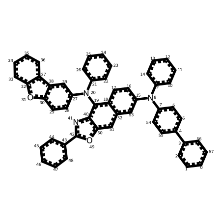 c1ccc(-c2ccc(N(c3ccccc3)c3ccc4c(N(c5ccccc5)c5ccc6oc7ccccc7c6c5)c5nc(-c6ccccc6)oc5cc4c3)cc2)cc1